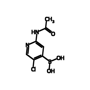 CC(=O)Nc1cc(B(O)O)c(Cl)cn1